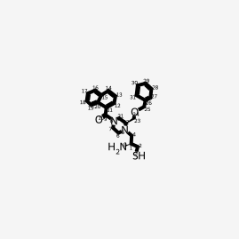 N[C@@H](CS)CN1CCN(C(=O)c2cccc3ccccc23)C[C@H]1COCc1ccccc1